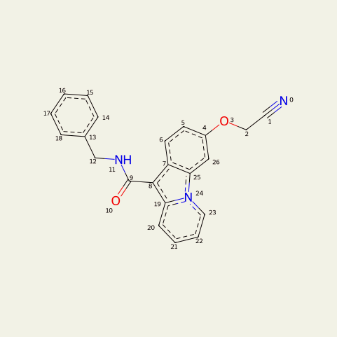 N#CCOc1ccc2c(C(=O)NCc3ccccc3)c3ccccn3c2c1